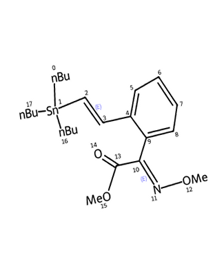 CCC[CH2][Sn](/[CH]=C/c1ccccc1/C(=N\OC)C(=O)OC)([CH2]CCC)[CH2]CCC